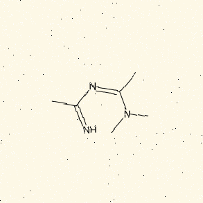 CC(=N)/N=C(/C)N(C)C